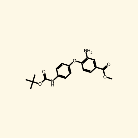 COC(=O)c1ccc(Oc2ccc(NC(=O)OC(C)(C)C)cc2)c(N)c1